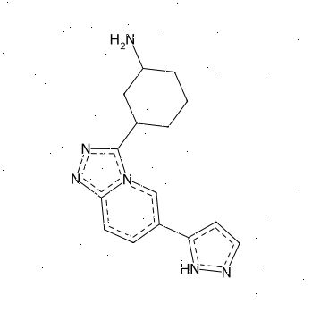 NC1CCCC(c2nnc3ccc(-c4ccn[nH]4)cn23)C1